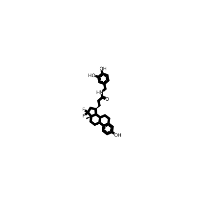 C[C@]12CCC3c4ccc(O)cc4CCC3C1[C@H](CCC(=O)NCc1ccc(O)c(O)c1)CC2(F)F